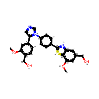 COc1cc(-c2cncn2-c2ccc(-c3nc4cc(CO)cc(OC)c4s3)cc2)ccc1CO